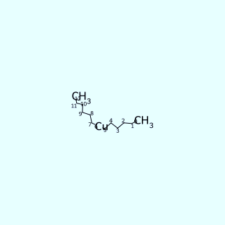 CCCCC[CH2][Cu][CH2]CCCCC